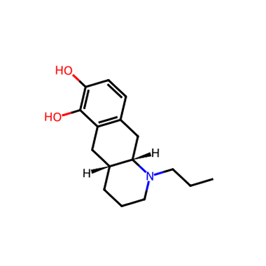 CCCN1CCC[C@@H]2Cc3c(ccc(O)c3O)C[C@@H]21